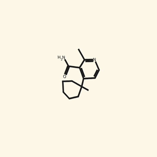 Cc1nccc(C2(C)CCCCC2)c1C(N)=O